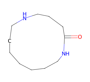 O=C1CCCNCCCCCCCN1